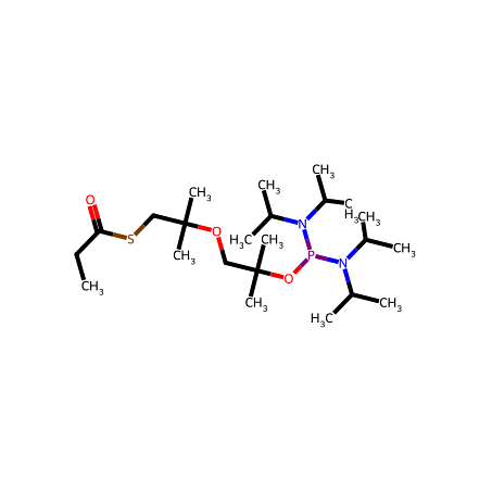 CCC(=O)SCC(C)(C)OCC(C)(C)OP(N(C(C)C)C(C)C)N(C(C)C)C(C)C